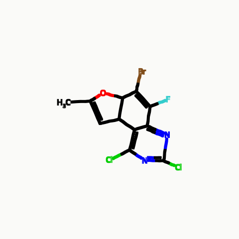 CC1=CC2c3c(Cl)nc(Cl)nc3C(F)=C(Br)C2O1